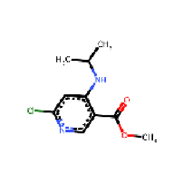 COC(=O)c1cnc(Cl)cc1NC(C)C